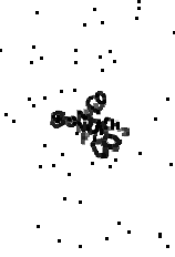 CCc1cccc2cccc(-c3ncc4c(N5CCCOCC5)nc(OCC56CCCN5CCC6)nc4c3F)c12